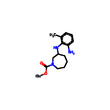 Cc1cccc(N)c1NC1CCCCN(C(=O)OC(C)(C)C)C1